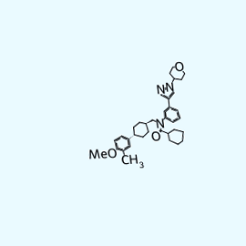 COc1ccc([C@H]2CC[C@H](CN(C(=O)C3CCCCC3)c3cccc(-c4cnn(C5CCOCC5)c4)c3)CC2)cc1C